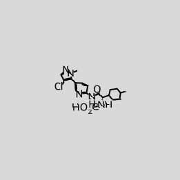 CC1CCC([C@H](NC(=O)O)C(=O)Nc2ccc(-c3c(Cl)cnn3C)cn2)CC1